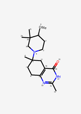 COC1CCN(C2(C)CCc3nc(C)[nH]c(=O)c3C2)CC1(C)C